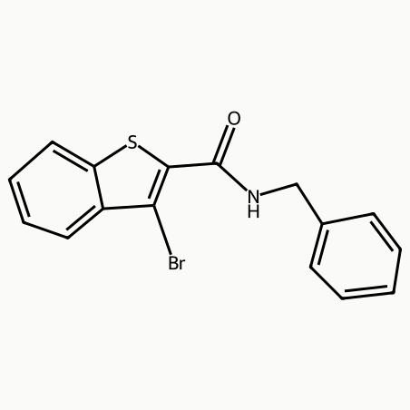 O=C(NCc1ccccc1)c1sc2ccccc2c1Br